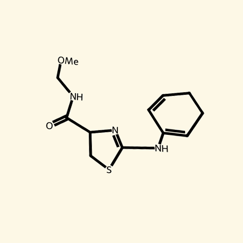 COCNC(=O)C1CSC(NC2=CCCC=C2)=N1